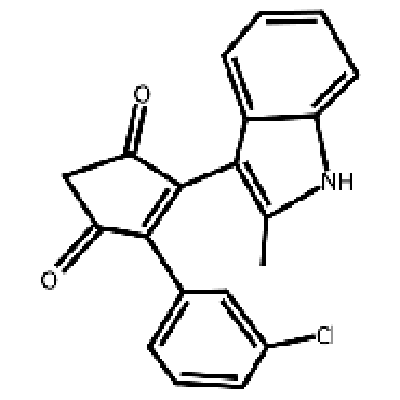 Cc1[nH]c2ccccc2c1C1=C(c2cccc(Cl)c2)C(=O)CC1=O